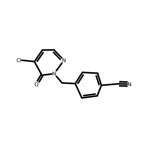 N#Cc1ccc(Cn2nccc(Cl)c2=O)cc1